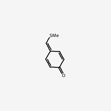 CSC=C1C=CC(=O)C=C1